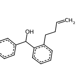 C=CCCc1ccccc1C(O)c1ccccc1